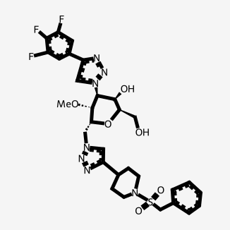 CO[C@@H]1[C@@H](n2cc(-c3cc(F)c(F)c(F)c3)nn2)[C@@H](O)[C@@H](CO)O[C@@H]1Cn1cc(C2CCN(S(=O)(=O)Cc3ccccc3)CC2)nn1